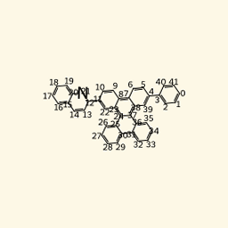 c1ccc(-c2ccc3c4ccc(-c5ccc6ccccc6n5)cc4c4c5ccccc5c5ccccc5c4c3c2)cc1